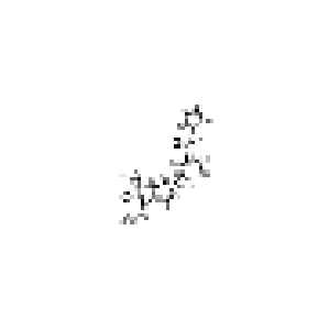 Cn1c(=O)n(CC(C)(C)C)c2ccc(C3CCCN(C(=O)Cc4ccsc4)C3)nc21